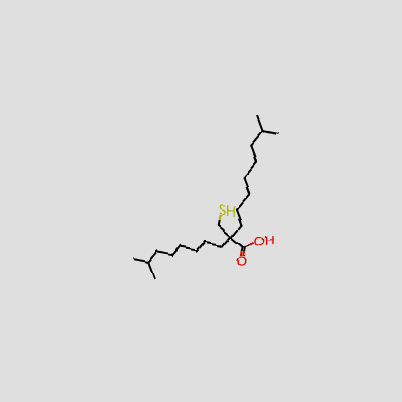 CC(C)CCCCCCC(CS)(CCCCCCC(C)C)C(=O)O